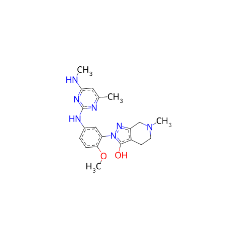 CNc1cc(C)nc(Nc2ccc(OC)c(-n3nc4c(c3O)CCN(C)C4)c2)n1